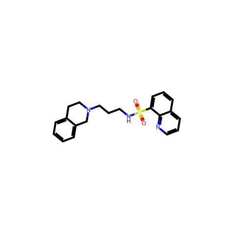 O=S(=O)(NCCCN1CCc2ccccc2C1)c1cccc2cccnc12